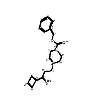 O=C(OCc1ccccc1)N1CCN(CCC(O)C2CCC2)CC1